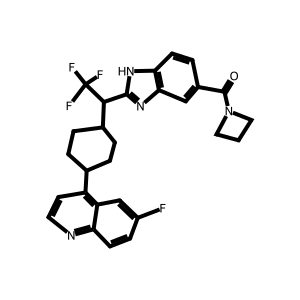 O=C(c1ccc2[nH]c(C(C3CCC(c4ccnc5ccc(F)cc45)CC3)C(F)(F)F)nc2c1)N1CCC1